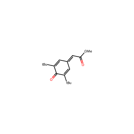 COC(=O)C=C1C=C(C(C)(C)C)C(=O)C(C(C)(C)C)=C1